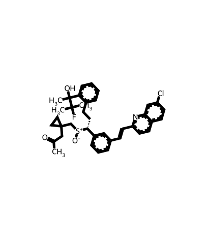 CC(=O)CC1(C[S+]([O-])[C@H](CCc2ccccc2C(C)(O)C(C)(C)F)c2cccc(/C=C/c3ccc4ccc(Cl)cc4n3)c2)CC1